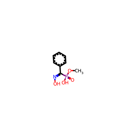 COP(=O)(O)C(=NO)c1ccccc1